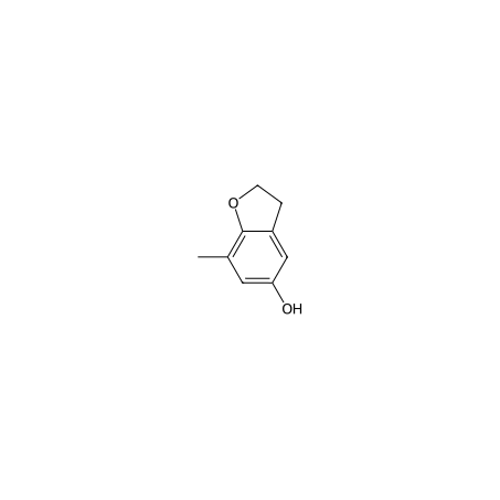 Cc1cc(O)cc2c1OCC2